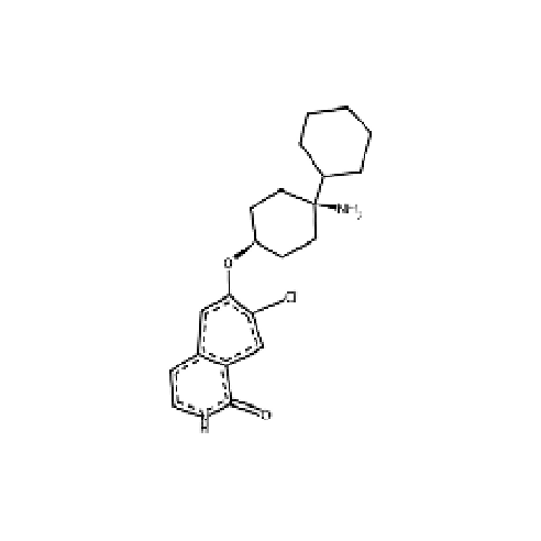 N[C@]1(C2CCCCC2)CC[C@H](Oc2cc3cc[nH]c(=O)c3cc2Cl)CC1